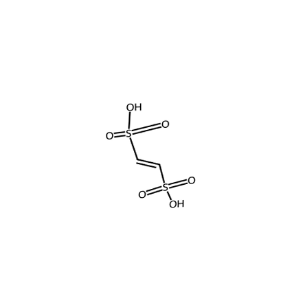 O=S(=O)(O)C=CS(=O)(=O)O